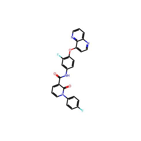 O=C(Nc1ccc(Oc2ccnc3cccnc23)c(F)c1)c1cccn(-c2ccc(F)cc2)c1=O